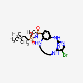 C[Si](C)(C)CCS(=O)(=O)N=S(C)(=O)c1ccc2cc1NCCCCNc1nc(ncc1Br)N2